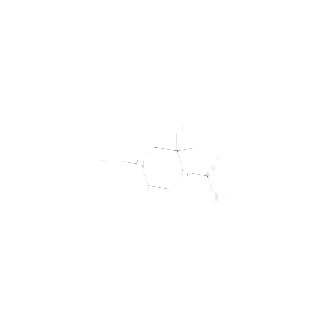 CC(C)C(=O)N1CCN(C)CC1(C)C